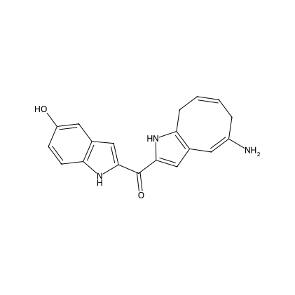 N/C1=C/c2cc(C(=O)c3cc4cc(O)ccc4[nH]3)[nH]c2CC=CC1